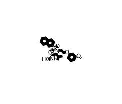 COc1cccc(OCCN(C(C(=O)NO)C(C)C)S(=O)(=O)c2ccc3ccccc3c2)c1